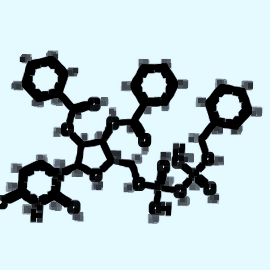 O=C(OC1[C@@H](OC(=O)c2ccccc2)[C@@H](COP(=O)(O)OP(=O)(O)OCc2ccccc2)O[C@H]1n1ccc(=O)[nH]c1=O)c1ccccc1